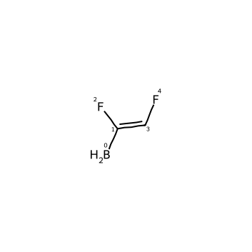 BC(F)=CF